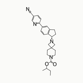 CCC(C)OC(=O)N1CCC2(CC1)CN([C@@H]1CCc3cc(-c4ccc(C#N)cn4)ccc31)C2